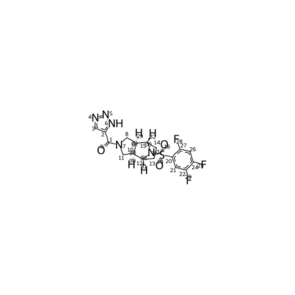 O=C(c1cnn[nH]1)N1C[C@@H]2[C@H](C1)[C@H]1CC[C@@H]2N1S(=O)(=O)c1cc(F)c(F)cc1F